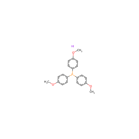 COc1ccc(P(c2ccc(OC)cc2)c2ccc(OC)cc2)cc1.I